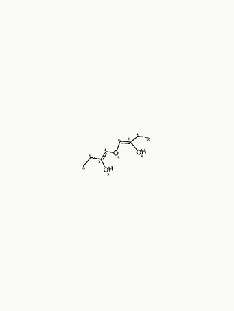 CCC(O)=COC=C(O)CC